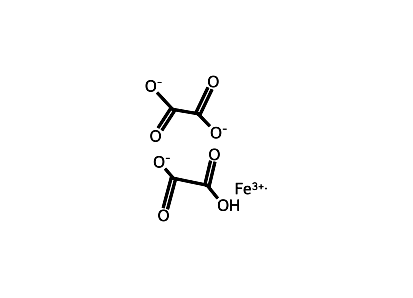 O=C([O-])C(=O)O.O=C([O-])C(=O)[O-].[Fe+3]